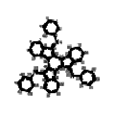 c1ccc(/N=c2\c3ccccc3c3c2c2c4ccccc4/c(=N\c4ccccc4)c2c2c4ccccc4/c(=N\c4ccccc4)c32)cc1